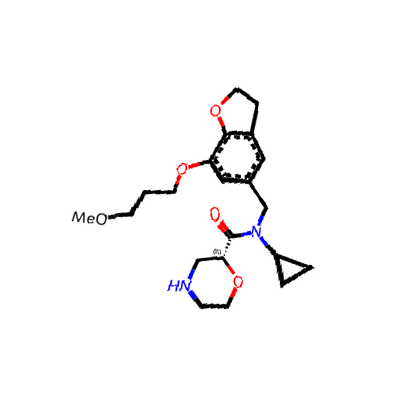 COCCCOc1cc(CN(C(=O)[C@H]2CNCCO2)C2CC2)cc2c1OCC2